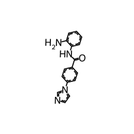 Nc1ccccc1NC(=O)c1ccc(-n2ccnc2)cc1